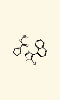 CC(C)(C)OC(=O)N1CCC[C@H]1c1nc(-c2cccc3ccccc23)c(Cl)s1